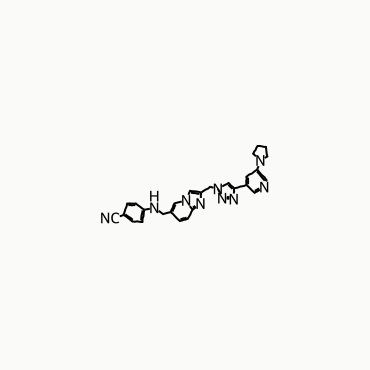 N#Cc1ccc(NCc2ccc3nc(Cn4cc(-c5cncc(N6CCCC6)c5)nn4)cn3c2)cc1